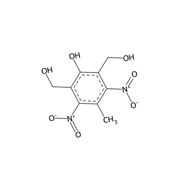 Cc1c([N+](=O)[O-])c(CO)c(O)c(CO)c1[N+](=O)[O-]